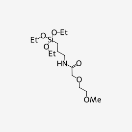 CCO[Si](CCCNC(=O)COCCOC)(OCC)OCC